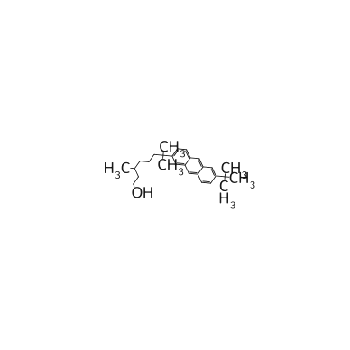 CC(CCO)CCCC(C)(C)c1ccc2cc3cc(C(C)(C)C)ccc3cc2c1